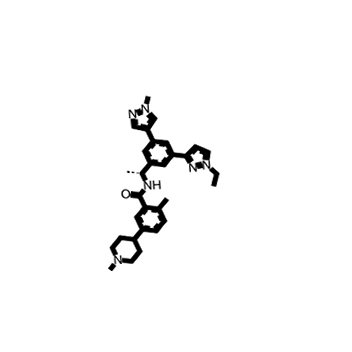 CCn1ccc(-c2cc(-c3cnn(C)c3)cc([C@@H](C)NC(=O)c3cc(C4CCN(C)CC4)ccc3C)c2)n1